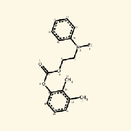 CCN(CCOC(=O)Oc1cccc(C)c1C)c1ccccc1